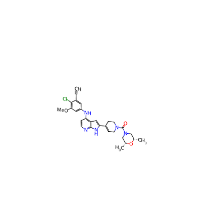 C#Cc1cc(Nc2ccnc3[nH]c(C4=CCN(C(=O)N5C[C@@H](C)O[C@@H](C)C5)CC4)cc23)cc(OC)c1Cl